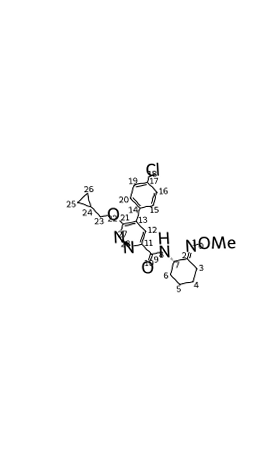 CO/N=C1\CCCC[C@@H]1NC(=O)c1cc(-c2ccc(Cl)cc2)c(OCC2CC2)nn1